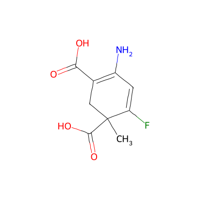 CC1(C(=O)O)CC(C(=O)O)=C(N)C=C1F